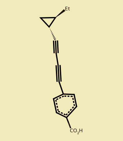 CC[C@@H]1C[C@H]1C#CC#Cc1ccc(C(=O)O)cc1